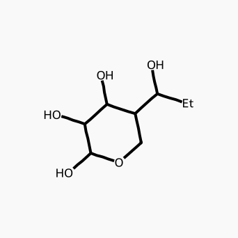 CCC(O)C1COC(O)C(O)C1O